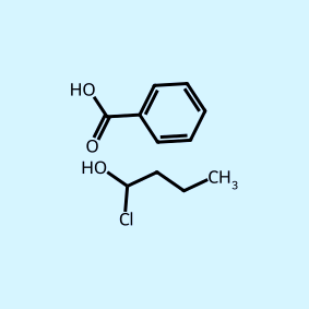 CCCC(O)Cl.O=C(O)c1ccccc1